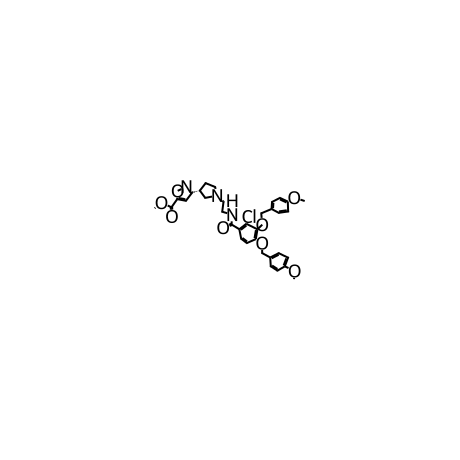 COC(=O)c1cc([C@@H]2CCN(CCNC(=O)c3ccc(OCc4ccc(OC)cc4)c(OCc4ccc(OC)cc4)c3Cl)C2)no1